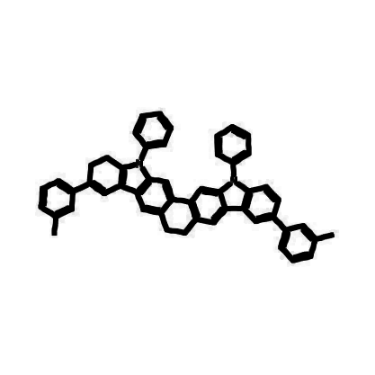 Cc1cccc(C2=Cc3c(n(-c4ccccc4)c4cc5c(cc34)CCc3cc4c6cc(-c7cccc(C)c7)ccc6n(-c6ccccc6)c4cc3-5)CC2)c1